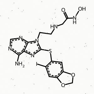 Nc1ncnc2c1nc(Sc1cc3c(cc1I)OCO3)n2CCNCC(=O)NO